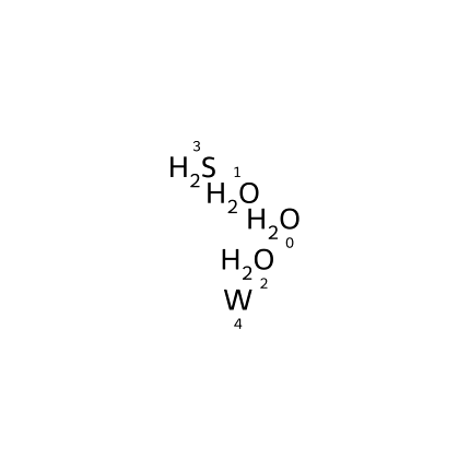 O.O.O.S.[W]